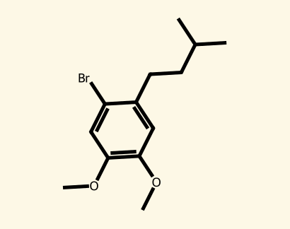 COc1cc(Br)c(CCC(C)C)cc1OC